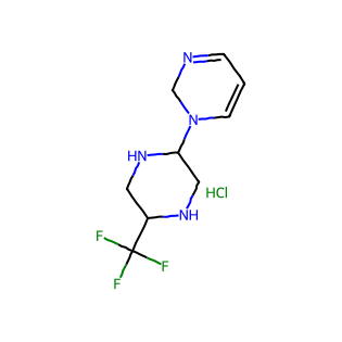 Cl.FC(F)(F)C1CNC(N2C=CC=NC2)CN1